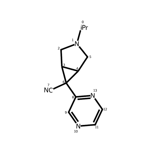 CC(C)N1CC2C(C1)C2(C#N)c1cnccn1